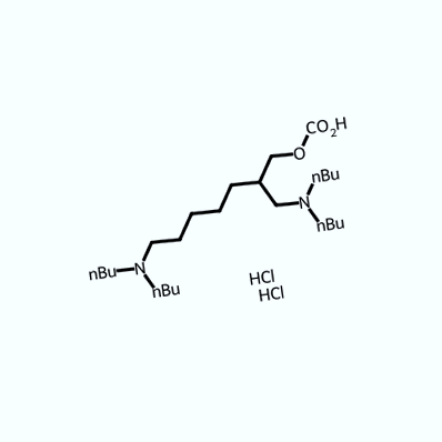 CCCCN(CCCC)CCCCCC(COC(=O)O)CN(CCCC)CCCC.Cl.Cl